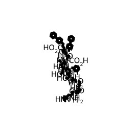 C[C@H](NC(=O)C(C)(C)NC(=O)[C@@H](N)Cc1c[nH]cn1)C(=O)NCC(=O)N[C@H](C(=O)N[C@@H](Cc1ccccc1)C(=O)N[C@](F)(C(=O)N[C@@H](CO)C(=O)N[C@@H](CC(=O)O)C(=O)N[C@@H](Cc1ccc(-c2ccccc2)cc1)C(=O)N[C@@H](Cc1ccc(-c2ccccc2)cc1)C(=O)O)[C@@H](C)O)[C@@H](C)O